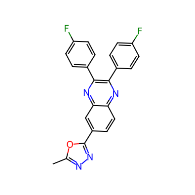 Cc1nnc(-c2ccc3nc(-c4ccc(F)cc4)c(-c4ccc(F)cc4)nc3c2)o1